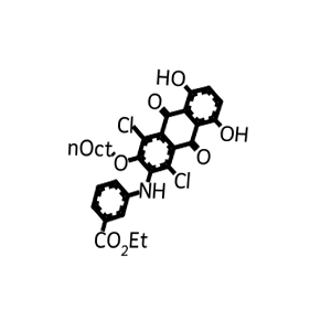 CCCCCCCCOc1c(Cl)c2c(c(Cl)c1Nc1cccc(C(=O)OCC)c1)C(=O)c1c(O)ccc(O)c1C2=O